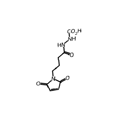 O=C(O)NNC(=O)CCCN1C(=O)C=CC1=O